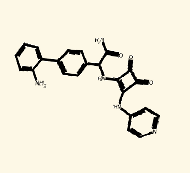 NC(=O)C(Nc1c(Nc2ccncc2)c(=O)c1=O)c1ccc(-c2ccccc2N)cc1